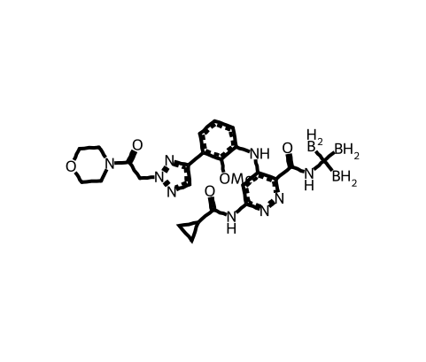 BC(B)(B)NC(=O)c1nnc(NC(=O)C2CC2)cc1Nc1cccc(-c2cnn(CC(=O)N3CCOCC3)n2)c1OC